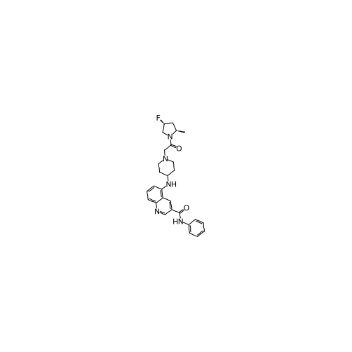 C[C@@H]1C[C@H](F)CN1C(=O)CN1CCC(Nc2cccc3ncc(C(=O)Nc4ccccc4)cc23)CC1